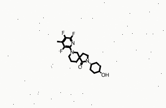 Cc1c(F)c(F)nc(N2CCCC3(CCN([C@H]4CC[C@H](O)CC4)C3=O)C2)c1F